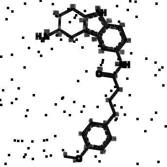 COc1ccc(CCCC(=O)Nc2ccc3[nH]c4c(c3c2)CC(N)CC4)cc1